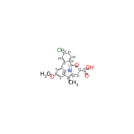 COc1ccc2c(c1)c(C)c(CCC(=O)O)n2C(=O)C1=CCC(Cl)C=C1